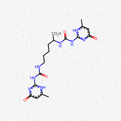 Cc1cc(=O)nc(NC(=O)NCCCCC(NC(=O)Nc2nc(=O)cc(C)[nH]2)C(=O)O)[nH]1